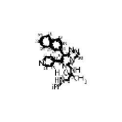 CC(C)NCC(C)(C)Nc1nc(-c2ccncc2)c(-c2ccc3ccccc3c2)c2nncn12